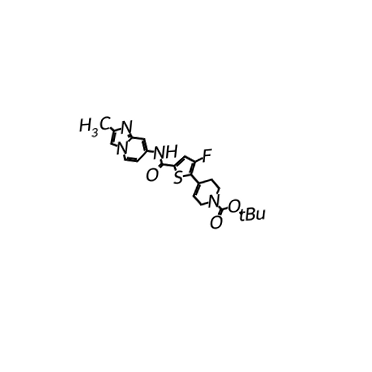 Cc1cn2ccc(NC(=O)c3cc(F)c(C4=CCN(C(=O)OC(C)(C)C)CC4)s3)cc2n1